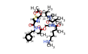 CCOC(=O)[C@@H](C)C[C@H](Cc1ccccc1)NC(=O)c1csc([C@@H](C[C@H](C(C)C)N(C)C(=O)[C@@H](NC(=O)[C@H](C)CCCCNC)C(C)(C)C)OC(C)=O)n1